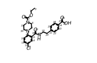 CCOC(=O)N1CCN(c2ccc(Cl)cc2C(=O)NCCc2ccc(C(=O)O)cc2)CC1